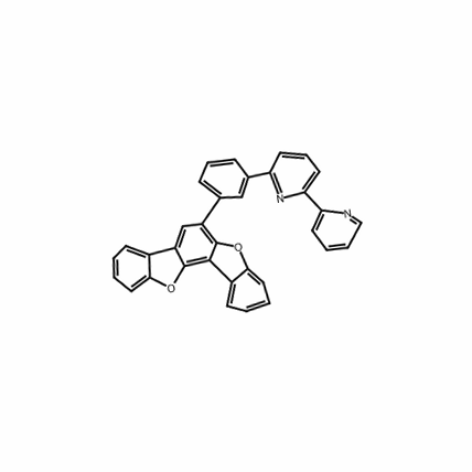 c1ccc(-c2cccc(-c3cccc(-c4cc5c6ccccc6oc5c5c4oc4ccccc45)c3)n2)nc1